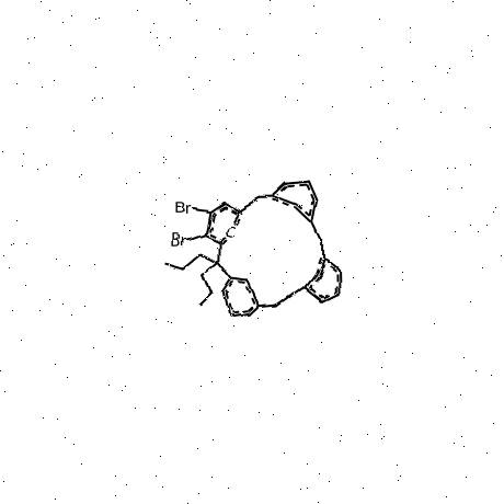 CCCC1(CCC)c2cccc(c2)Cc2cccc(c2)Cc2cccc(c2)Cc2cc(Br)c(Br)c1c2